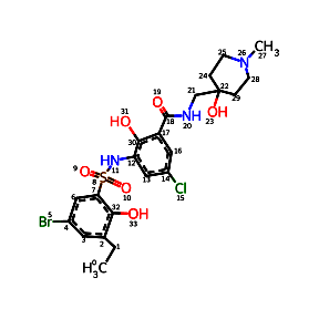 CCc1cc(Br)cc(S(=O)(=O)Nc2cc(Cl)cc(C(=O)NCC3(O)CCN(C)CC3)c2O)c1O